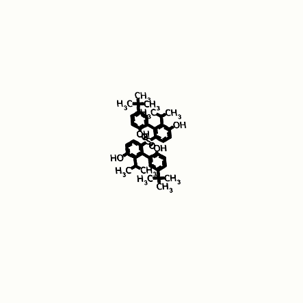 CC(C)c1c(O)ccc(S(=O)(=O)c2ccc(O)c(C(C)C)c2-c2cc(C(C)(C)C)ccc2O)c1-c1cc(C(C)(C)C)ccc1O